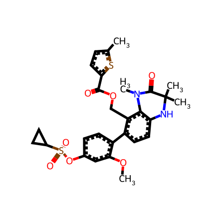 COc1cc(OS(=O)(=O)C2CC2)ccc1-c1ccc2c(c1COC(=O)c1ccc(C)s1)N(C)C(=O)C(C)(C)N2